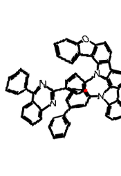 c1ccc(-c2cccc(-n3c4ccccc4c4ccc5c6ccc7oc8ccccc8c7c6n(-c6ccc(-c7nc(-c8ccccc8)c8ccccc8n7)cc6)c5c43)c2)cc1